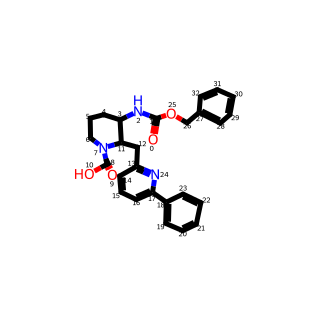 O=C(NC1CCCN(C(=O)O)C1Cc1cccc(-c2ccccc2)n1)OCc1ccccc1